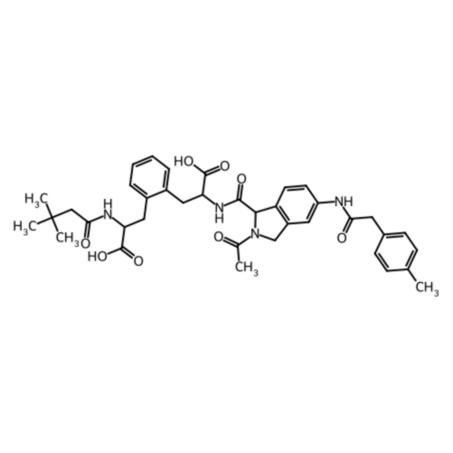 CC(=O)N1Cc2cc(NC(=O)Cc3ccc(C)cc3)ccc2C1C(=O)NC(Cc1ccccc1CC(NC(=O)CC(C)(C)C)C(=O)O)C(=O)O